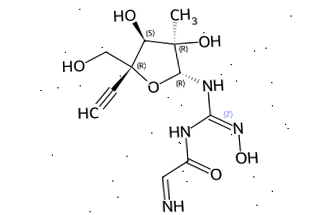 C#C[C@]1(CO)O[C@@H](N/C(=N/O)NC(=O)C=N)[C@](C)(O)[C@@H]1O